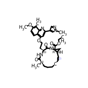 CCOC(=O)[C@@]12C[C@H]1/C=C\CCCCN(C)C(=O)N[C@@H](CCOc1cc(-c3cnn(C)c3)nc3c(C)c(OC)ccc13)C(=O)N2